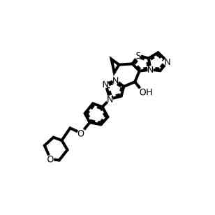 OC(c1cn(-c2ccc(OCC3CCOCC3)cc2)nn1)c1c(C2CC2)sc2cncn12